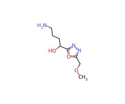 COCc1nnc(C(O)CCCN)o1